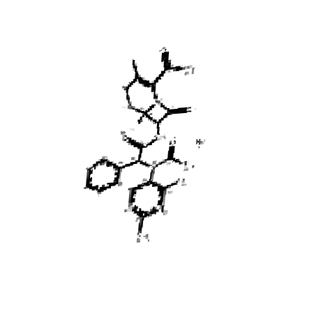 CC1=C(C(=O)[O-])N2C(=O)C(NC(=O)C(c3ccccc3)N(C(N)=O)c3cnc(N)nc3O)[C@@H]2SC1.[Na+]